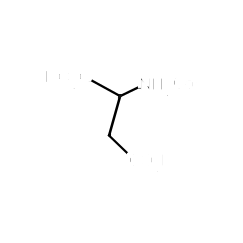 NC(CC(=O)O)C(=O)O.[Co]